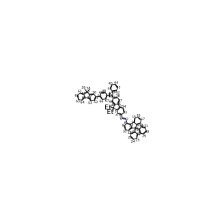 CCC1(CC)c2cc(/C=C/c3cccc4c3-c3ccccc3C4(c3ccccc3)c3ccccc3)ccc2-c2ccc(N(c3ccccc3)c3ccc(-c4ccc5c(c4)C(C)(C)c4ccccc4-5)cc3)cc21